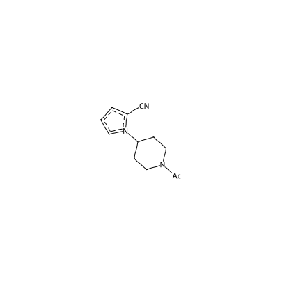 CC(=O)N1CCC(n2cccc2C#N)CC1